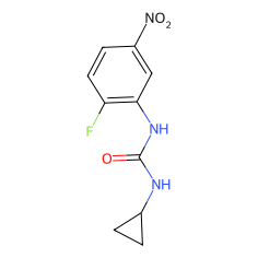 O=C(Nc1cc([N+](=O)[O-])ccc1F)NC1CC1